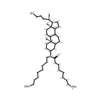 CCCCCCCCCCCCCCCCCCN(C(=O)CCCCCCCCCCCCCCCCC)C1CC[C@@]2(C)C(CCC3C2CC[C@@]2(C)C3CC[C@@H]2[C@H](C)CCCC(C)C)C1